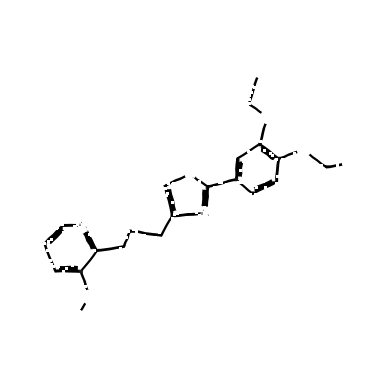 CCOc1ccc(-c2nc(CCCc3ncccc3OC)cs2)cc1OCC.Cl.Cl